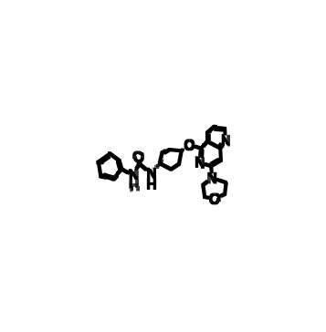 O=C(Nc1ccccc1)N[C@H]1CC[C@@H](Oc2nc(N3CCOCC3)cc3ncccc23)CC1